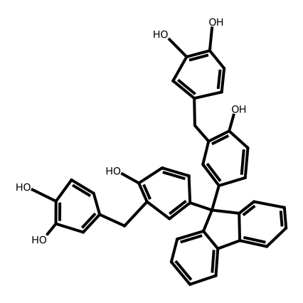 Oc1ccc(Cc2cc(C3(c4ccc(O)c(Cc5ccc(O)c(O)c5)c4)c4ccccc4-c4ccccc43)ccc2O)cc1O